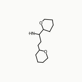 [NH]C(CCC1CCCCO1)C1CCCCO1